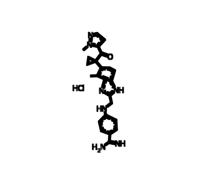 Cc1c(C2(C(=O)c3ccnn3C)CC2)ccc2[nH]c(CNc3ccc(C(=N)N)cc3)nc12.Cl